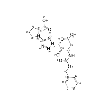 O=C(O)CC(NC(=O)OCc1ccccc1)C(=O)Cn1nnc(N2CCC[C@@H]2C(=O)O)n1